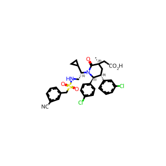 C[C@]1(CC(=O)O)C[C@H](c2cccc(Cl)c2)[C@@H](c2ccc(Cl)cc2)N([C@H](CNS(=O)(=O)Cc2cccc(C#N)c2)C2CC2)C1=O